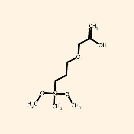 C=C(O)COCCC[Si](C)(OC)OC